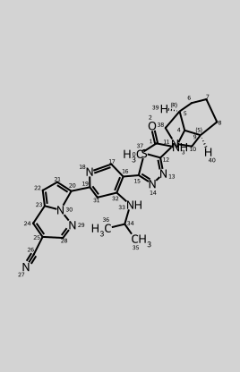 CC(=O)NC1[C@@H]2CCC[C@H]1CN(c1nnc(-c3cnc(-c4ccc5cc(C#N)cnn45)cc3NC(C)C)s1)C2